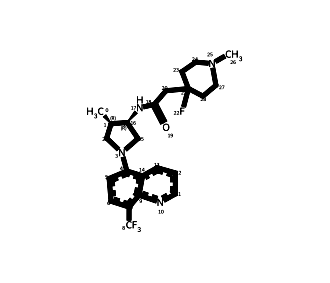 C[C@@H]1CN(c2ccc(C(F)(F)F)c3ncccc23)C[C@@H]1NC(=O)CC1(F)CCN(C)CC1